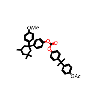 COc1ccc(C2(c3ccc(OC(=O)Oc4ccc(C(C)(C)c5ccc(OC(C)=O)cc5)cc4)cc3)CC(C)CC(C)(C)C2)cc1